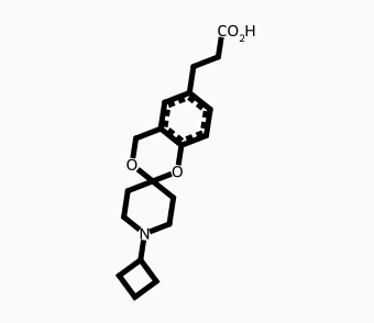 O=C(O)CCc1ccc2c(c1)COC1(CCN(C3CCC3)CC1)O2